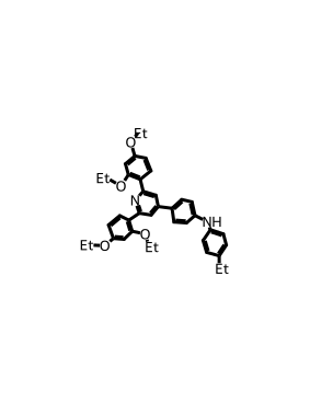 CCOc1ccc(-c2cc(-c3ccc(Nc4ccc(CC)cc4)cc3)cc(-c3ccc(OCC)cc3OCC)n2)c(OCC)c1